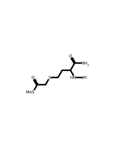 CSC(=O)CSCCC(NC(C)C)C(N)=O